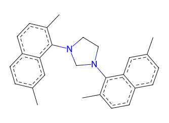 Cc1ccc2ccc(C)c(N3CCN(c4c(C)ccc5ccc(C)cc45)C3)c2c1